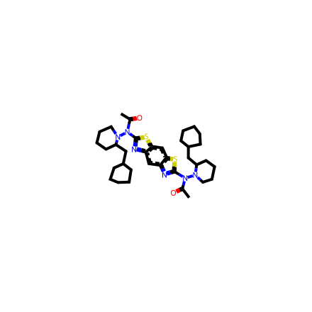 CC(=O)N(c1nc2cc3nc(N(C(C)=O)N4CCCCC4CC4CCCCC4)sc3cc2s1)N1CCCCC1CC1CCCCC1